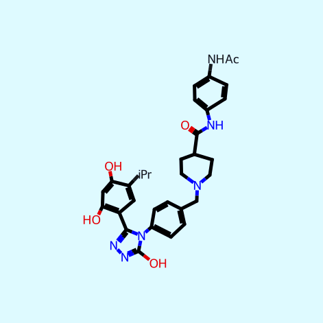 CC(=O)Nc1ccc(NC(=O)C2CCN(Cc3ccc(-n4c(O)nnc4-c4cc(C(C)C)c(O)cc4O)cc3)CC2)cc1